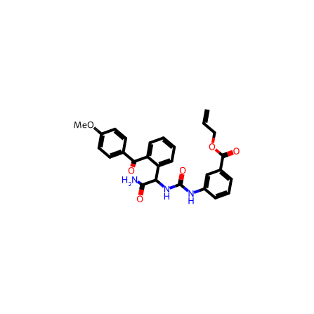 C=CCOC(=O)c1cccc(NC(=O)NC(C(N)=O)c2ccccc2C(=O)c2ccc(OC)cc2)c1